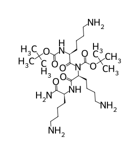 CC(C)(C)OC(=O)N[C@@H](CCCCN)C(=O)N(C(=O)OC(C)(C)C)[C@@H](CCCCN)C(=O)N[C@@H](CCCCN)C(N)=O